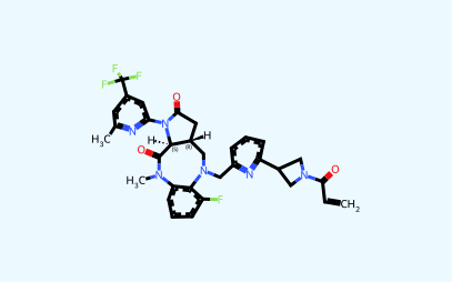 C=CC(=O)N1CC(c2cccc(CN3C[C@H]4CC(=O)N(c5cc(C(F)(F)F)cc(C)n5)[C@@H]4C(=O)N(C)c4cccc(F)c43)n2)C1